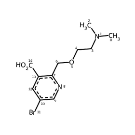 CN(C)CCOCc1ncc(Br)cc1C(=O)O